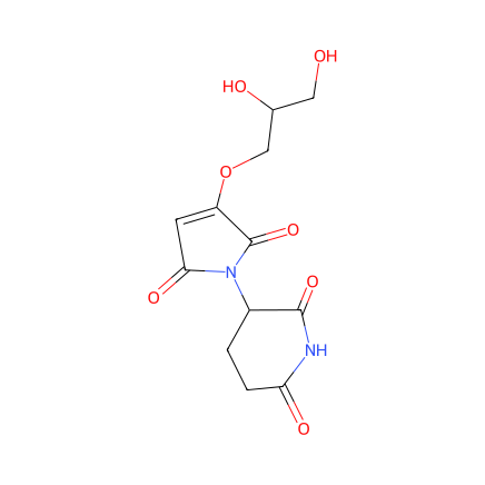 O=C1CCC(N2C(=O)C=C(OCC(O)CO)C2=O)C(=O)N1